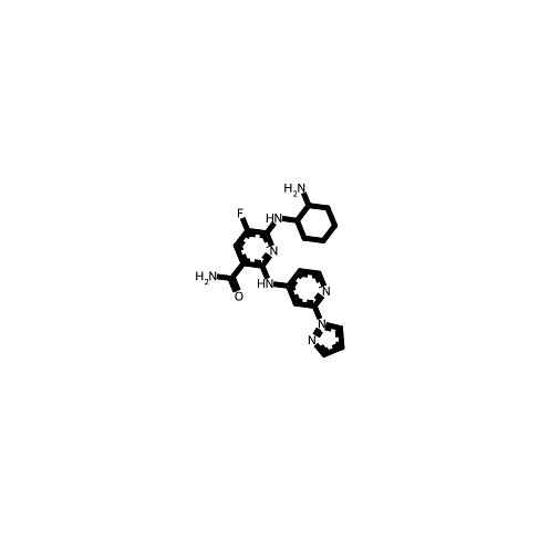 NC(=O)c1cc(F)c(NC2CCCCC2N)nc1Nc1ccnc(-n2cccn2)c1